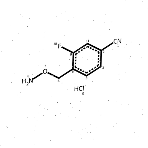 Cl.N#Cc1ccc(CON)c(F)c1